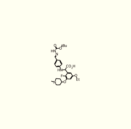 CCOc1cc(OC2CCN(C)CC2)c(F)c(C(Nc2ccc(C=NNC(=O)OC(C)(C)C)cc2)C(=O)O)c1